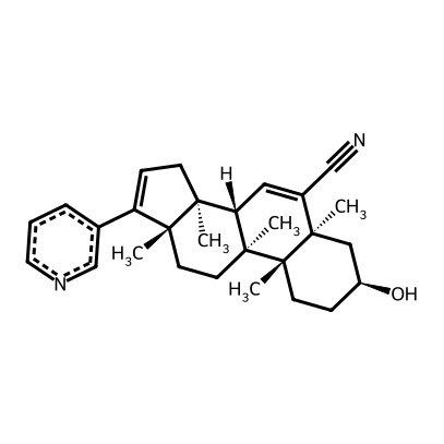 C[C@]12CC[C@H](O)C[C@]1(C)C(C#N)=C[C@@H]1[C@]2(C)CC[C@]2(C)C(c3cccnc3)=CC[C@@]12C